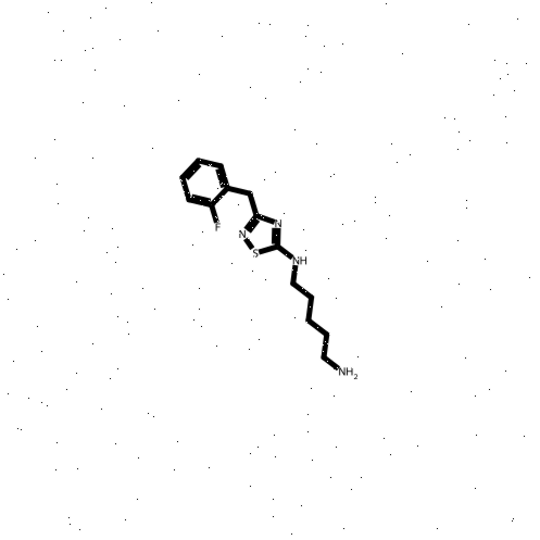 NCCCCCNc1nc(Cc2ccccc2F)ns1